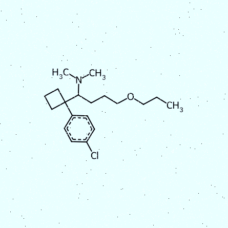 CCCOCCCC(N(C)C)C1(c2ccc(Cl)cc2)CCC1